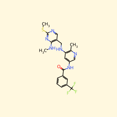 CNc1nc(SC)ncc1CNc1cc(NC(=O)c2cccc(C(F)(F)F)c2)cnc1C